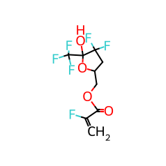 C=C(F)C(=O)OCC1CC(F)(F)C(O)(C(F)(F)F)O1